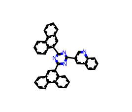 c1ccc2ncc(-c3nc(-c4cc5ccccc5c5ccccc45)nc(-c4cc5ccccc5c5ccccc45)n3)cc2c1